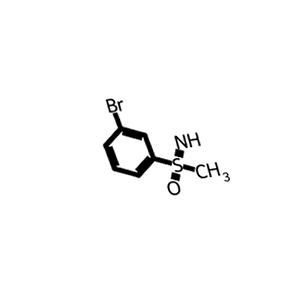 CS(=N)(=O)c1cccc(Br)c1